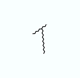 [CH2]CCC(CCCCC)CCCCCCCCCCCC